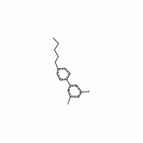 CCCCCc1ccc(-c2cc(F)cc(F)c2)cc1